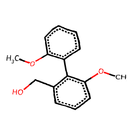 COc1ccccc1-c1c(CO)cccc1OC